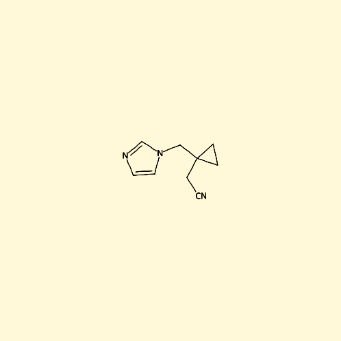 N#CCC1(Cn2ccnc2)CC1